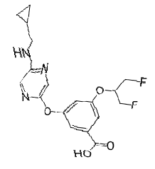 O=C(O)c1cc(Oc2cnc(NCC3CC3)cn2)cc(OC(CF)CF)c1